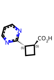 O=C(O)[C@H]1CC[C@@H]1c1ncccn1